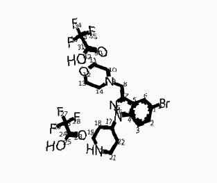 Brc1ccc2c(c1)c(CN1CCOCC1)nn2C1CCNCC1.O=C(O)C(F)(F)F.O=C(O)C(F)(F)F